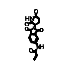 C=CC(=O)Nc1ccc2c(c1)C(=O)N(C1CCC(=O)NC1=O)C2=O